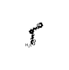 CC(=O)CC(=O)OCCOc1cccc(CCCOC2CCCCO2)c1